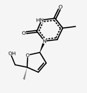 Cc1cn([C@H]2C=C[C@@](C)(CO)O2)c(=O)[nH]c1=O